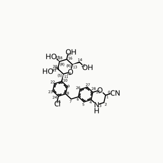 N#CC1CNc2cc(Cc3cc([C@@H]4O[C@H](CO)C(O)[C@H](O)[C@H]4O)ccc3Cl)ccc2O1